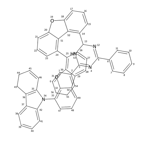 C1=CC(C2=NC(c3ccccc3)=NC(c3cccc4oc5cccc(-c6cccc7c6oc6c(-n8c9c(c%10ccccc%108)CCC=C9)cccc67)c5c34)N2)=CCC1